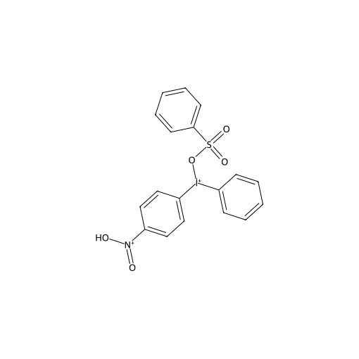 O=[N+](O)c1ccc([I+](OS(=O)(=O)c2ccccc2)c2ccccc2)cc1